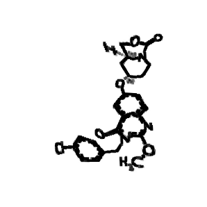 COc1nc2ccc(O[C@H]3CCN4C(=O)OC[C@@H]4C3)cc2c(=O)n1Cc1ccc(Cl)cc1